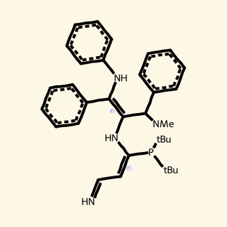 CNC(/C(N/C(=C\C=N)P(C(C)(C)C)C(C)(C)C)=C(\Nc1ccccc1)c1ccccc1)c1ccccc1